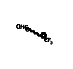 O=COCCCCCCc1cccc(C(F)(F)F)c1